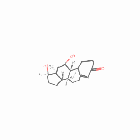 CC(=O)[C@@]1(O)CC[C@H]2[C@@H]3CCC4=CC(=O)CC[C@]4(C)[C@H]3[C@H](O)C[C@@]21C